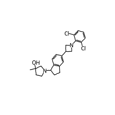 CC1(O)CCN(C2CCc3cc(C4CN(c5c(Cl)cccc5Cl)C4)ccc32)C1